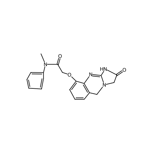 CN(C(=O)COc1cccc2c1N=C1NC(=O)CN1C2)c1ccccc1